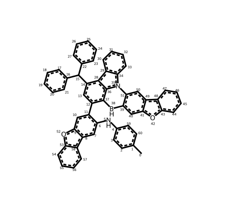 Cc1ccc(Nc2cc3c(cc2-c2cc(C(c4ccccc4)c4ccccc4)c4c5ccccc5n5c4c2Bc2cc4oc6ccccc6c4cc2-5)oc2ccccc23)cc1